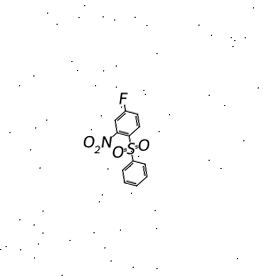 O=[N+]([O-])c1cc(F)ccc1S(=O)(=O)c1ccccc1